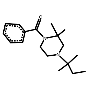 CCC(C)(C)N1CCN(C(=O)c2ccccc2)C(C)(C)C1